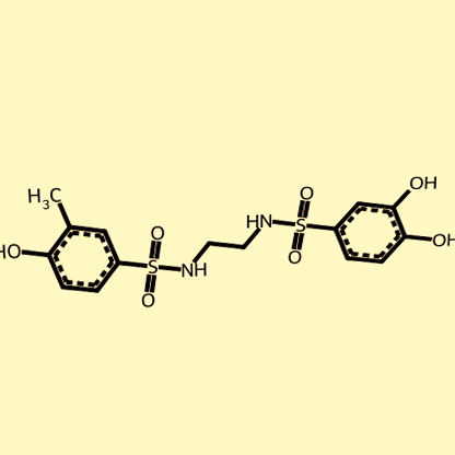 Cc1cc(S(=O)(=O)NCCNS(=O)(=O)c2ccc(O)c(O)c2)ccc1O